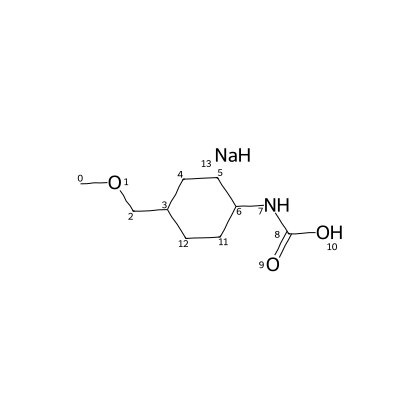 COCC1CCC(NC(=O)O)CC1.[NaH]